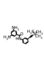 C[Si](C)(C)C#Cc1cccc(NC(=O)c2cc(N)cc(N)c2)c1